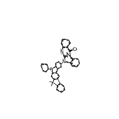 CC1(C)c2ccccc2-c2cc3c4cc(-n5c6ccccc6n6c(=O)c7ccccc7nc56)ccc4n(-c4ccccc4)c3cc21